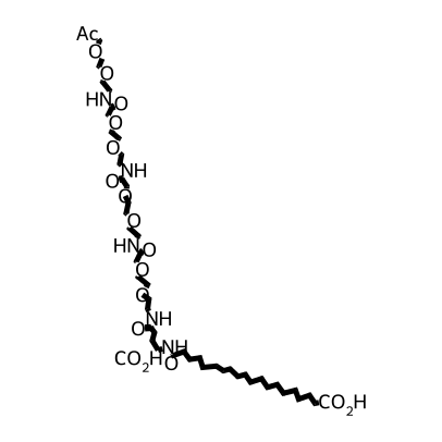 CC(=O)COCCOCCNC(=O)COCCOCCNC(=O)COCCOCCNC(=O)COCCOCCNC(=O)CCC(NC(=O)CCCCCCCCCCCCCCCCCCC(=O)O)C(=O)O